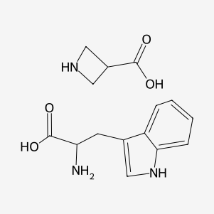 NC(Cc1c[nH]c2ccccc12)C(=O)O.O=C(O)C1CNC1